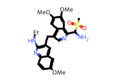 CCNc1nc2ccc(OC)cc2cc1Cc1[c]nc(C(N)S(C)(=O)=O)c2cc(OC)c(OC)cc12